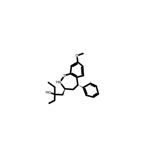 CCC(O)(CC)C[C@@H]1C[C@@H](c2ccccc2)c2ccc(OC)cc2SN1